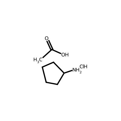 CC(=O)O.Cl.NC1CCCC1